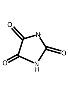 O=C1[N]C(=O)C(=O)N1